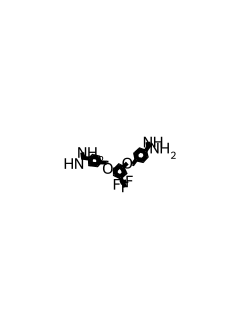 N=C(N)c1ccc(COc2cc(OCc3ccc(C(=N)N)cc3)cc(C(F)(F)F)c2)cc1